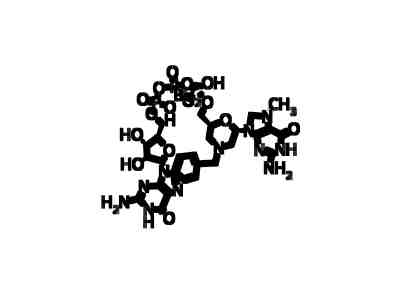 BP(=O)(OP(=O)(O)OC[C@@H]1CN(Cc2ccccc2)C[C@H](N2CN(C)c3c2nc(N)[nH]c3=O)O1)OP(=O)(O)OC[C@H]1O[C@@H](n2cnc3c(=O)[nH]c(N)nc32)[C@H](O)[C@@H]1O